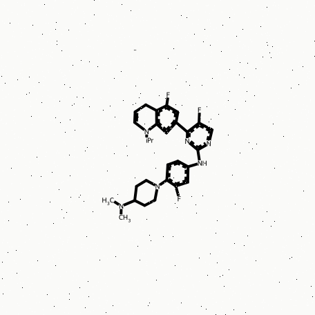 CC(C)N1C=CCc2c(F)cc(-c3nc(Nc4ccc(N5CCC(N(C)C)CC5)c(F)c4)ncc3F)cc21